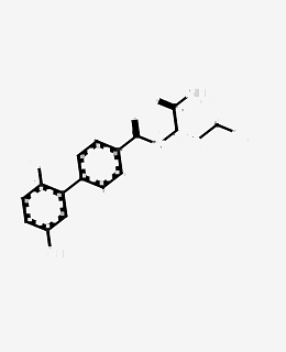 Cc1ccc(C)c(-c2ccc(C(=O)N[C@@H](CCC(=O)O)C(N)=O)cc2)c1